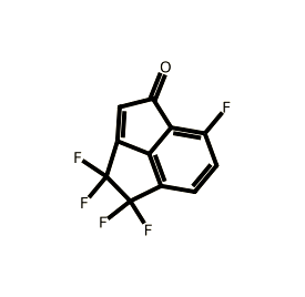 O=C1C=C2c3c(ccc(F)c31)C(F)(F)C2(F)F